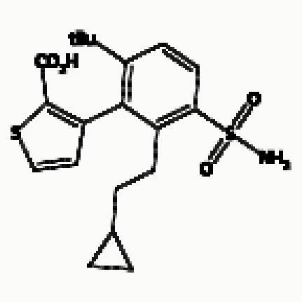 CC(C)(C)c1ccc(S(N)(=O)=O)c(CCC2CC2)c1-c1ccsc1C(=O)O